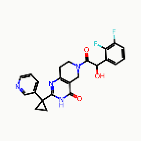 O=C(C(O)c1cccc(F)c1F)N1CCc2nc(C3(c4cccnc4)CC3)[nH]c(=O)c2C1